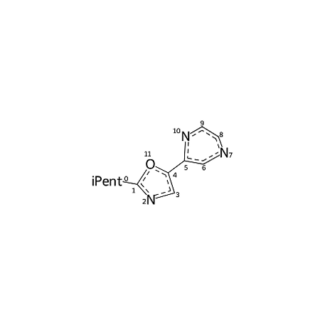 CCCC(C)c1ncc(-c2cnccn2)o1